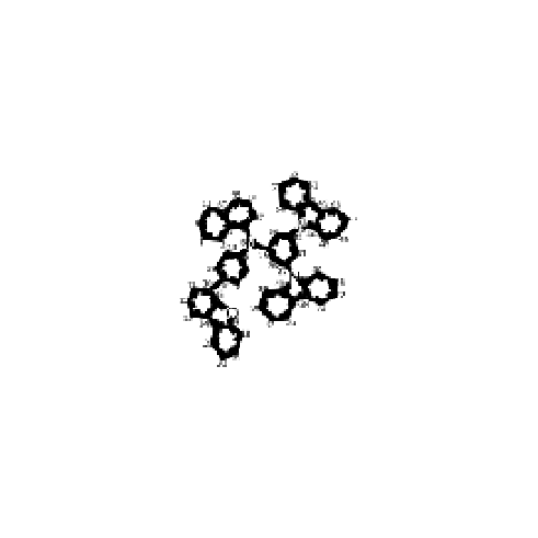 c1ccc2c(N(c3ccc(-c4cccc5c4oc4ccccc45)cc3)c3cc(-n4c5ccccc5c5ccccc54)cc(-n4c5ccccc5c5ccccc54)c3)cccc2c1